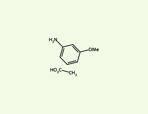 CC(=O)O.COc1cccc(N)c1